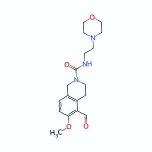 COc1ccc2c(c1C=O)CCN(C(=O)NCCN1CCOCC1)C2